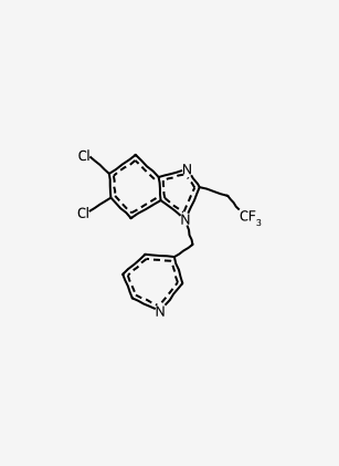 FC(F)(F)Cc1nc2cc(Cl)c(Cl)cc2n1Cc1cccnc1